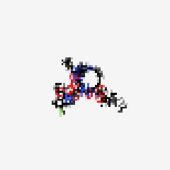 COCC1c2cccc(F)c2CCN1C(=O)O[C@@H]1CC2C(=O)N[C@]3(C(=O)NSC4CC4)C[C@H]3/C=C\CCCCC[C@H](NC(=O)OC(C)(C)C)C(=O)N2C1